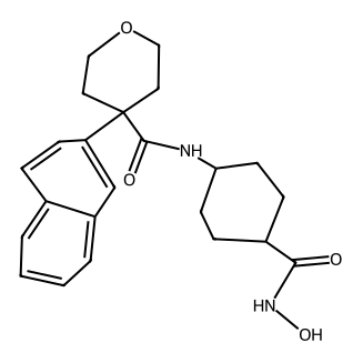 O=C(NO)C1CCC(NC(=O)C2(c3ccc4ccccc4c3)CCOCC2)CC1